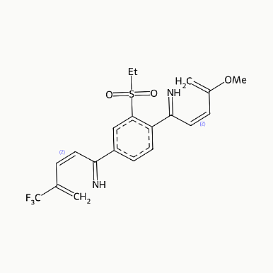 C=C(/C=C\C(=N)c1ccc(C(=N)/C=C\C(=C)C(F)(F)F)cc1S(=O)(=O)CC)OC